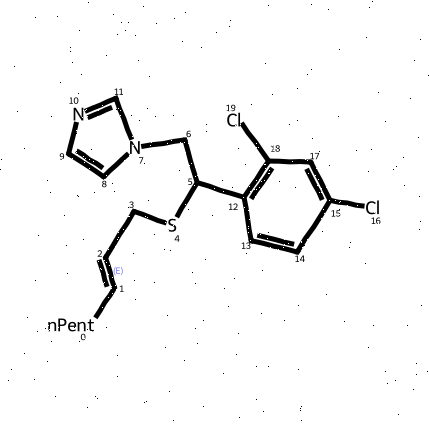 CCCCC/C=C/CSC(Cn1ccnc1)c1ccc(Cl)cc1Cl